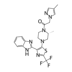 Cc1cnn(CC(=O)N2CCN(c3sc(C(F)(F)F)nc3-c3nc4ccccc4[nH]3)C[C@H]2C)c1